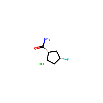 Cl.NC(=O)[C@H]1CC[C@@H](F)C1